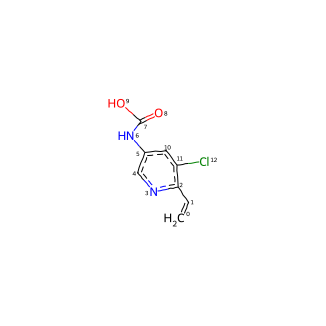 C=Cc1ncc(NC(=O)O)cc1Cl